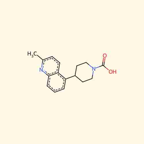 Cc1ccc2c(C3CCN(C(=O)O)CC3)cccc2n1